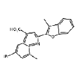 Cc1c(-c2cc(C(=O)O)c3cc(C(C)C)cc(C)c3n2)oc2ccccc12